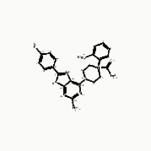 COc1ccccc1[N+]1(C(N)=O)CCN(c2nc(N)nc3sc(-c4ccc(F)cc4)nc23)CC1